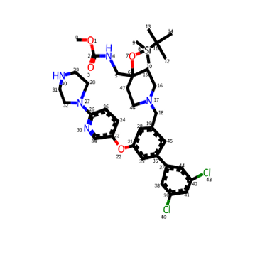 COC(=O)NCC1(O[Si](C)(C)C(C)(C)C)CCN(Cc2cc(Oc3ccc(N4CCNCC4)nc3)cc(-c3cc(Cl)cc(Cl)c3)c2)CC1